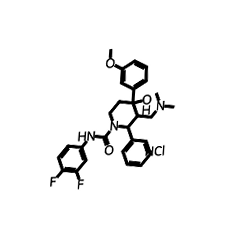 COc1cccc(C2(O)CCN(C(=O)Nc3ccc(F)c(F)c3)C(c3ccccc3)C2CN(C)C)c1.Cl